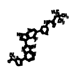 CC(=O)c1ccc(-c2ccnc3[nH]c(-c4n[nH]c5ncc(-c6cncc(NC(=O)CC(C)(C)C)c6)c(F)c45)nc23)s1